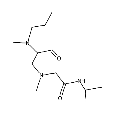 CCCN(C)C(C=O)CN(C)CC(=O)NC(C)C